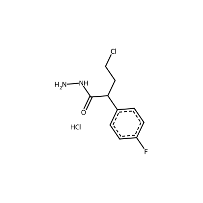 Cl.NNC(=O)C(CCCl)c1ccc(F)cc1